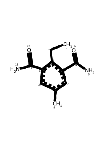 CCc1c(C(N)=O)cc(C)cc1C(N)=O